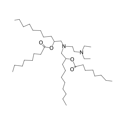 CCCCCCCCC(CN(CCN(CC)CC)CC(CCCCCCCC)OC(=O)CCCCCCC)OC(=O)CCCCCCC